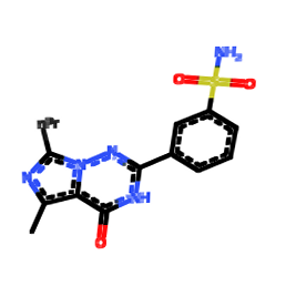 CCCc1nc(C)c2c(=O)[nH]c(-c3cccc(S(N)(=O)=O)c3)nn12